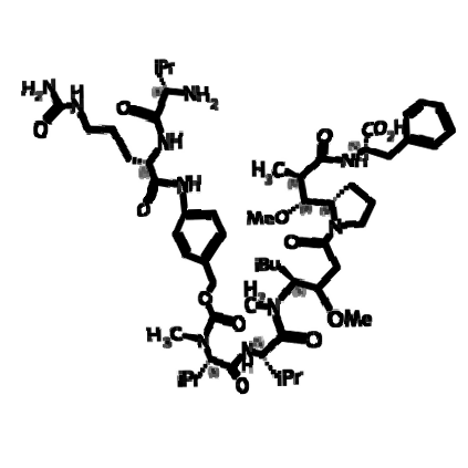 CCC(C)[C@@H](C(CC(=O)N1CCC[C@H]1[C@H](OC)[C@@H](C)C(=O)N[C@@H](Cc1ccccc1)C(=O)O)OC)N(C)C(=O)[C@@H](NC(=O)[C@H](C(C)C)N(C)C(=O)OCc1ccc(NC(=O)[C@H](CCCNC(N)=O)NC(=O)[C@@H](N)C(C)C)cc1)C(C)C